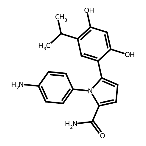 CC(C)c1cc(-c2ccc(C(N)=O)n2-c2ccc(N)cc2)c(O)cc1O